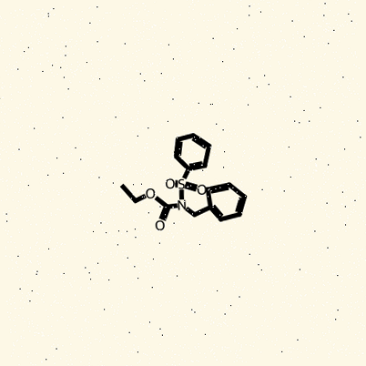 CCOC(=O)N(Cc1ccccc1)S(=O)(=O)c1ccccc1